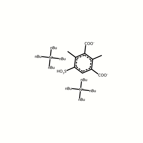 CCCC[N+](CCCC)(CCCC)CCCC.CCCC[N+](CCCC)(CCCC)CCCC.Cc1c(C(=O)[O-])cc(S(=O)(=O)O)c(C)c1C(=O)[O-]